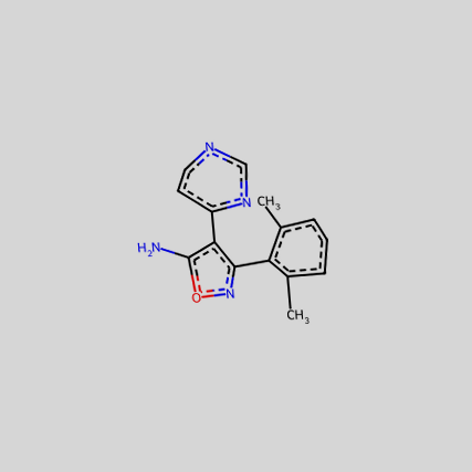 Cc1cccc(C)c1-c1noc(N)c1-c1ccncn1